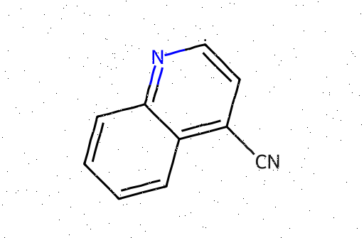 N#Cc1c[c]nc2ccccc12